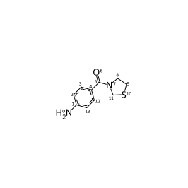 Nc1ccc(C(=O)N2CCSC2)cc1